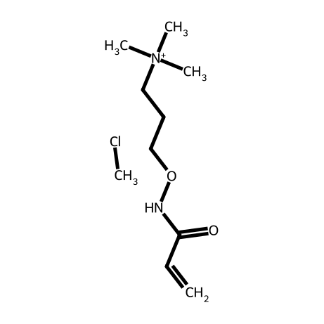 C=CC(=O)NOCCC[N+](C)(C)C.CCl